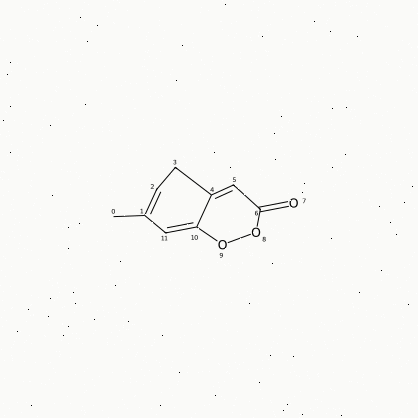 CC1=CCC2=CC(=O)OOC2=C1